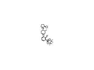 CC1CN(c2cccc(B3OC(C)(C)C(C)(C)O3)c2F)CCC1N1CCCC1=O